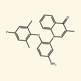 Cc1cc(F)cc(C)c1Oc1ccc(N)cc1-n1cc(C)c(=O)c2ccccc21